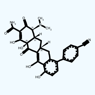 CN(C)[C@@H]1C(=O)C(C(N)=O)=C(O)[C@@]2(O)C(=O)C3=C(O)c4c(O)ccc(-c5ccc(C#N)cc5)c4C[C@H]3C[C@@H]12